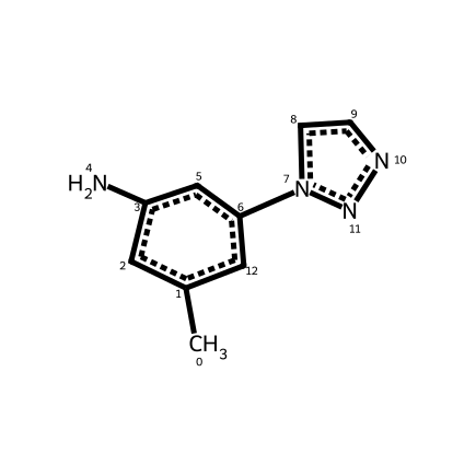 Cc1cc(N)cc(-n2ccnn2)c1